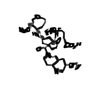 CO[C@@H]1COCC[C@@H]1N[C@@H]1C[C@H]2OCC[C@@]2(C(=O)N2CCc3ncc(C(F)(F)F)cc3C2)C1.O=C(O)CCC(=O)O